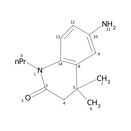 CCCN1C(=O)CC(C)(C)c2cc(N)ccc21